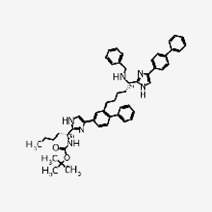 CCCC[C@@H](NC(=O)OC(C)(C)C)c1nc(-c2ccc(-c3ccccc3)c(CCCC[C@H](NCc3ccccc3)c3nc(-c4ccc(-c5ccccc5)cc4)c[nH]3)c2)c[nH]1